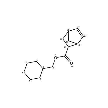 O=C(OCC1CCCCC1)C1CC2C=CC1C2